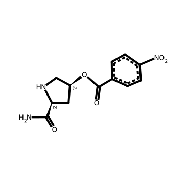 NC(=O)[C@@H]1C[C@H](OC(=O)c2ccc([N+](=O)[O-])cc2)CN1